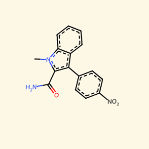 Cn1c(C(N)=O)c(-c2ccc([N+](=O)[O-])cc2)c2ccccc21